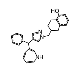 Oc1cccc2c1CCC(Cn1cc(C(C3=CNC=CC=C3)c3ccccc3)cn1)C2